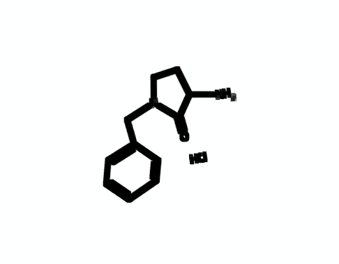 Cl.NC1CCN(Cc2ccccc2)C1=O